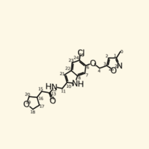 Cc1cc(COc2cc3[nH]c(CNC(=O)CC4CCOC4)cc3cc2Cl)on1